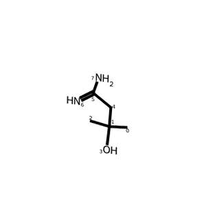 CC(C)(O)CC(=N)N